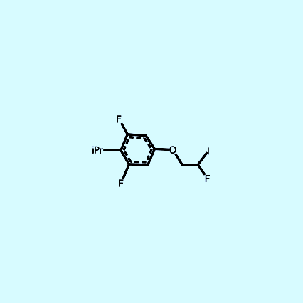 CC(C)c1c(F)cc(OCC(F)I)cc1F